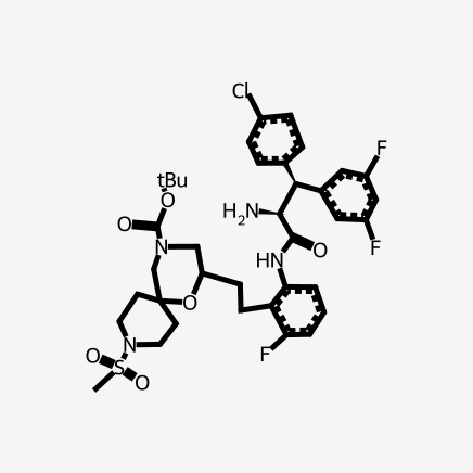 CC(C)(C)OC(=O)N1CC(CCc2c(F)cccc2NC(=O)[C@@H](N)[C@@H](c2ccc(Cl)cc2)c2cc(F)cc(F)c2)OC2(CCN(S(C)(=O)=O)CC2)C1